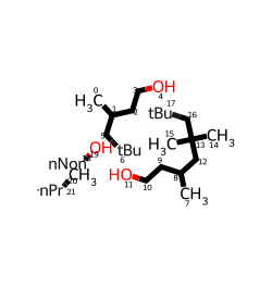 CC(CCO)CC(C)(C)C.CC(CCO)CC(C)(C)CC(C)(C)C.CCCCCCCCCO.C[CH]CC